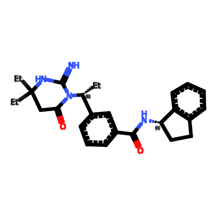 CC[C@H](c1cccc(C(=O)N[C@H]2CCc3ccccc32)c1)N1C(=N)NC(CC)(CC)CC1=O